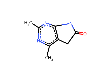 Cc1nc(C)c2c(n1)[N]C(=O)C2